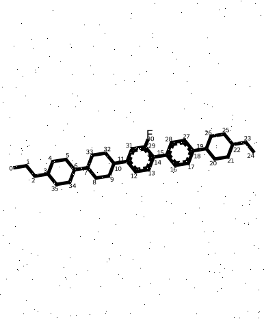 CCCC1CCC(C2CCC(c3ccc(-c4ccc(C5CCC(CC)CC5)cc4)c(F)c3)CC2)CC1